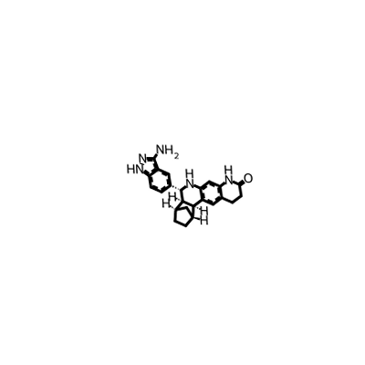 Nc1n[nH]c2ccc([C@@H]3Nc4cc5c(cc4[C@H]4[C@@H]6CC[C@H](C6)[C@H]43)CCC(=O)N5)cc12